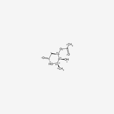 CC(=O)O[C@H](CC=O)[C@@H](O)[C@@H](C)O